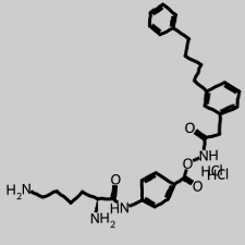 Cl.Cl.NCCCC[C@H](N)C(=O)Nc1ccc(C(=O)ONC(=O)Cc2cccc(CCCCc3ccccc3)c2)cc1